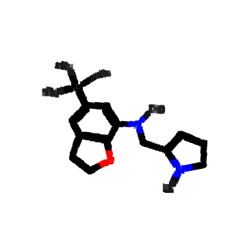 CCC[CH2][Sn]([CH2]CCC)([CH2]CCC)[c]1cc2c(c(N(C=O)CC3CCCN3CC)c1)OCC2